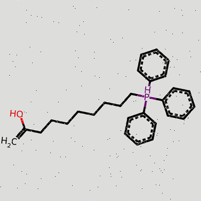 C=C(O)CCCCCCCC[PH](c1ccccc1)(c1ccccc1)c1ccccc1